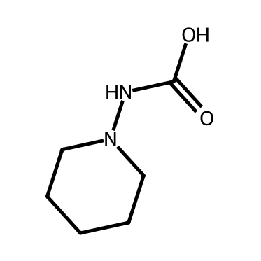 O=C(O)NN1CCCCC1